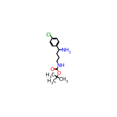 CC(C)(C)OC(=O)NCCCC(N)c1ccc(Cl)cc1